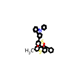 CC1C=CC2C(C1)SC1=CCCC=C1C21C2C=C(C3CCCCC3)C=CC2SC2C(c3ccc4c(c3)c3ccccc3n4-c3ccccc3)=CCCC21